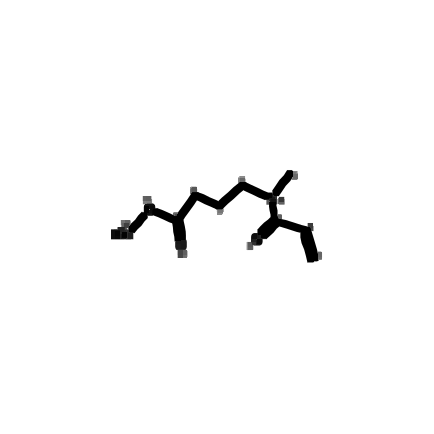 C=CC(=O)N(C)CCCC(=O)OCCCC